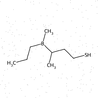 CCCB(C)C(C)CCS